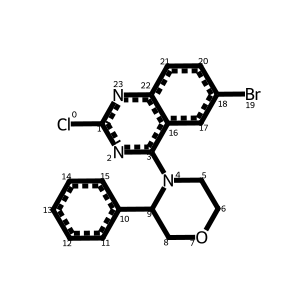 Clc1nc(N2CCOCC2c2ccccc2)c2cc(Br)ccc2n1